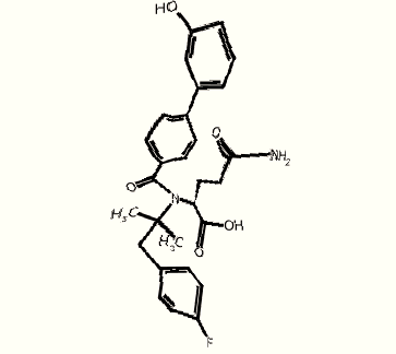 CC(C)(Cc1ccc(F)cc1)N(C(=O)c1ccc(-c2cccc(O)c2)cc1)[C@@H](CCC(N)=O)C(=O)O